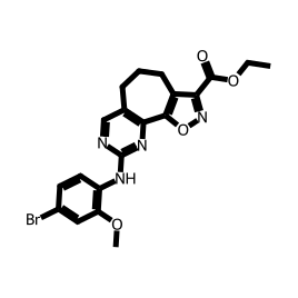 CCOC(=O)c1noc2c1CCCc1cnc(Nc3ccc(Br)cc3OC)nc1-2